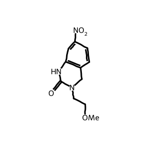 COCCN1Cc2ccc([N+](=O)[O-])cc2NC1=O